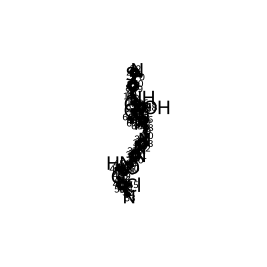 Cc1ncsc1-c1ccc([C@H](C)NC(=O)[C@@H]2C[C@@H](O)CN2C(=O)[C@@H](c2ncc(CCCN3CCN(c4ccc(C(=O)N[C@H]5C(C)(C)[C@H](Oc6ccc(C#N)c(Cl)c6)C5(C)C)cn4)CC3)n2C)C(C)C)cc1